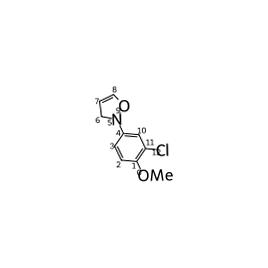 COc1ccc(N2CC=CO2)cc1Cl